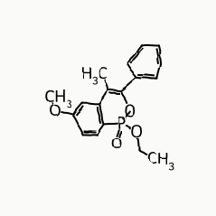 CCOP1(=O)OC(c2ccccc2)=C(C)c2cc(OC)ccc21